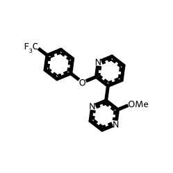 COc1nccnc1-c1cccnc1Oc1ccc(C(F)(F)F)cc1